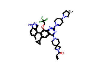 C=CC(=O)N1CC2(CCN(c3nc(N4CCC(N5CC[C@H](C)C5)CC4)nc4c(OCC(F)(F)F)c(-c5c(C)ccc6[nH]ncc56)c(C5CC5)cc34)CC2)C1